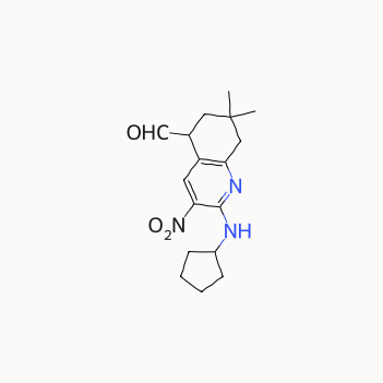 CC1(C)Cc2nc(NC3CCCC3)c([N+](=O)[O-])cc2C(C=O)C1